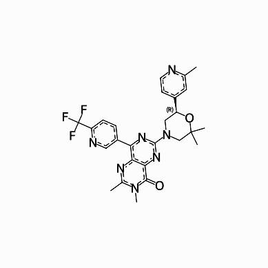 Cc1cc([C@@H]2CN(c3nc(-c4ccc(C(F)(F)F)nc4)c4nc(C)n(C)c(=O)c4n3)CC(C)(C)O2)ccn1